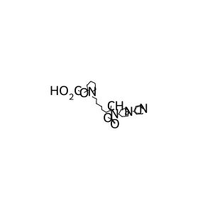 CC1C(CCCCCN2CCCCC2OC(=O)O)OC(=O)N1C1CCN(c2ccncc2)CC1